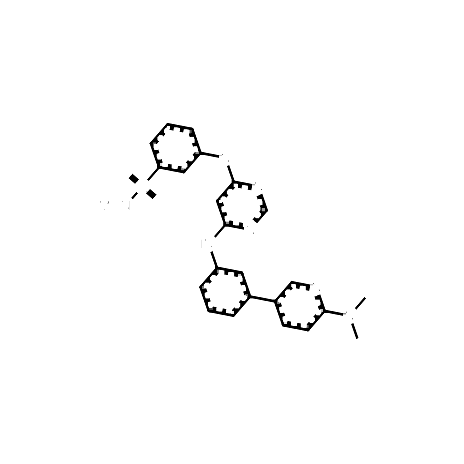 CNS(=O)(=O)c1cccc(Nc2cc(Nc3cccc(-c4ccc(N(C)C)nc4)c3)ncn2)c1